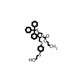 C=CCOC(=O)N1CC(SC(c2ccccc2)(c2ccccc2)c2ccccc2)CC1CSc1ccc(SCCO)cc1